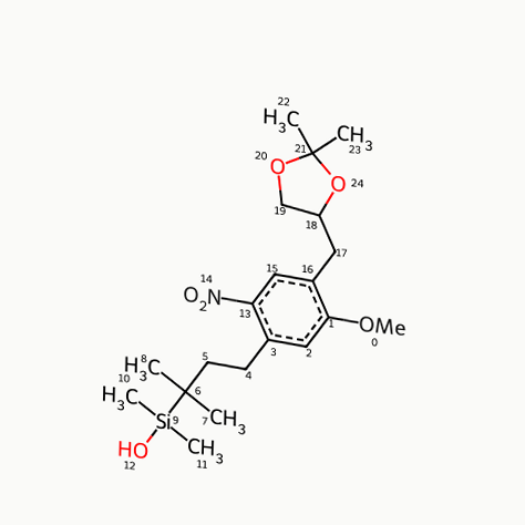 COc1cc(CCC(C)(C)[Si](C)(C)O)c([N+](=O)[O-])cc1CC1COC(C)(C)O1